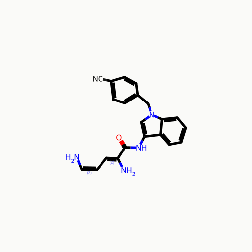 N#Cc1ccc(Cn2cc(NC(=O)/C(N)=C/C=C\N)c3ccccc32)cc1